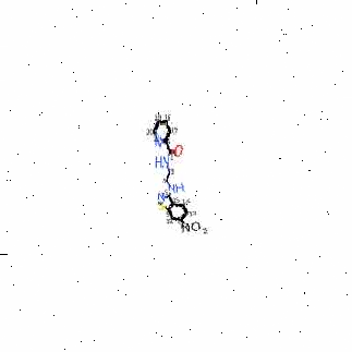 O=C(NCCNc1nsc2cc([N+](=O)[O-])ccc12)c1ccccn1